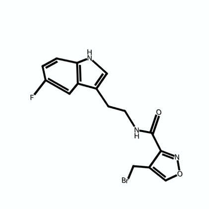 O=C(NCCc1c[nH]c2ccc(F)cc12)c1nocc1CBr